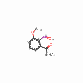 CC(=O)NC(=O)c1cccc(OC(F)(F)F)c1I=O